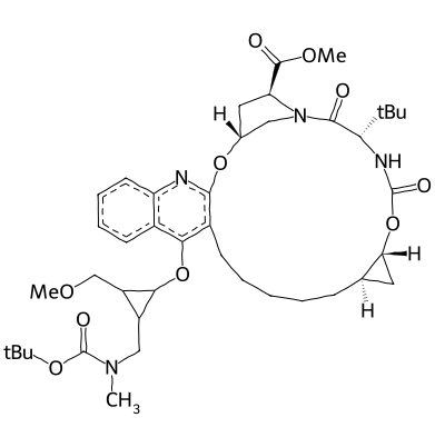 COCC1C(CN(C)C(=O)OC(C)(C)C)C1Oc1c2c(nc3ccccc13)O[C@@H]1C[C@@H](C(=O)OC)N(C1)C(=O)[C@H](C(C)(C)C)NC(=O)O[C@@H]1C[C@H]1CCCCC2